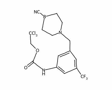 N#CB1CCN(Cc2cc(NC(=O)OCC(Cl)(Cl)Cl)cc(C(F)(F)F)c2)CC1